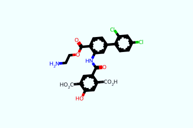 NCCOC(=O)c1ccc(-c2ccc(Cl)cc2Cl)cc1NC(=O)c1cc(C(=O)O)c(O)cc1C(=O)O